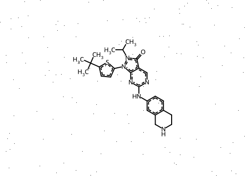 CC(C)n1c(=O)c2cnc(Nc3ccc4c(c3)CNCC4)nc2n1-c1ccc(C(C)(C)C)s1